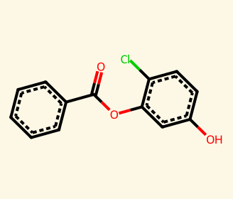 O=C(Oc1cc(O)ccc1Cl)c1ccccc1